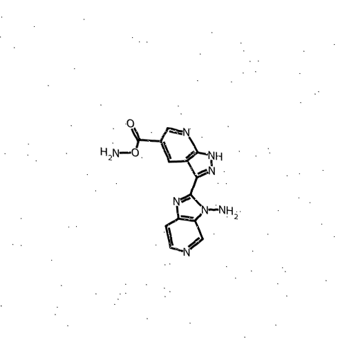 NOC(=O)c1cnc2[nH]nc(-c3nc4ccncc4n3N)c2c1